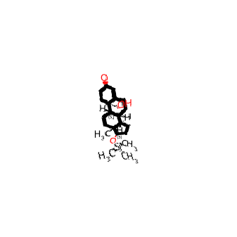 C[C@]12CC[C@H]3[C@@H](CCC4=CC(=O)CC[C@@]43CO)[C@@H]1CC[C@@H]2O[Si](C)(C)C